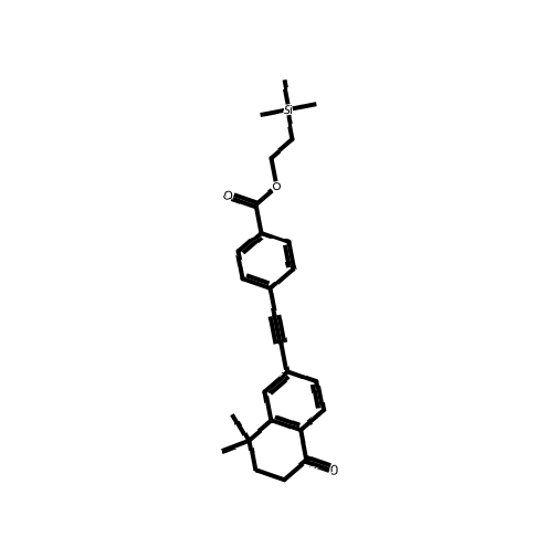 CC1(C)CCC(=O)c2ccc(C#Cc3ccc(C(=O)OCC[Si](C)(C)C)cc3)cc21